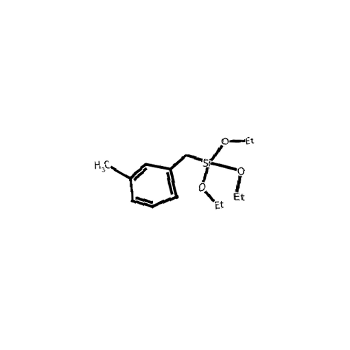 CCO[Si](Cc1cccc(C)c1)(OCC)OCC